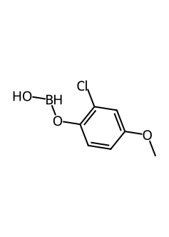 COc1ccc(OBO)c(Cl)c1